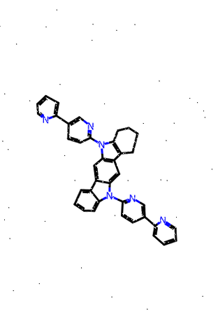 c1ccc(-c2ccc(-n3c4c(c5cc6c(cc53)c3ccccc3n6-c3ccc(-c5ccccn5)cn3)CCCC4)nc2)nc1